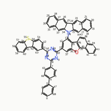 c1ccc(-c2ccc(-c3nc(-c4cc(-n5c6cc7ccccc7cc6c6cc7ccccc7cc65)c5c(c4)oc4c6ccccc6ccc45)nc(-c4ccc5sc6ccccc6c5c4)n3)cc2)cc1